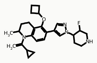 C=C(C1CC1)N1c2ccc(-c3cnn(C4CCNCC4F)c3)c(OC3CCC3)c2CCC1C